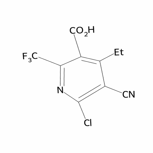 CCc1c(C#N)c(Cl)nc(C(F)(F)F)c1C(=O)O